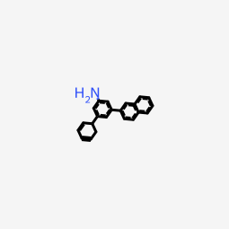 Nc1cc(-c2ccc3ccccc3c2)cc(C2C=CC#CC2)c1